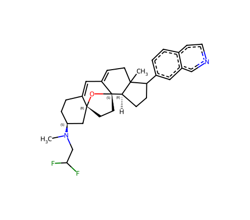 CN(CC(F)F)[C@H]1CCC2=CC3=CCC4(C)C(c5ccc6ccncc6c5)CC[C@H]4[C@@]34CC[C@]2(C1)O4